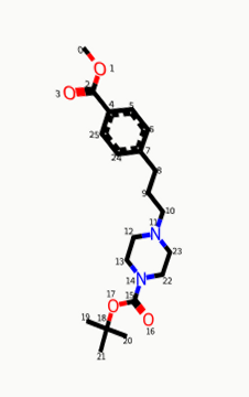 COC(=O)c1ccc(CCCN2CCN(C(=O)OC(C)(C)C)CC2)cc1